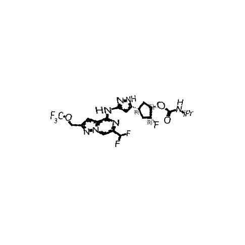 CC(C)NC(=O)O[C@H]1C[C@@H](c2cc(Nc3nc(C(F)F)cn4nc(COC(F)(F)F)cc34)n[nH]2)C[C@H]1F